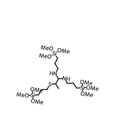 CO[Si](CCCNC(NCCC[Si](OC)(OC)OC)C(C)SCCC[Si](OC)(OC)OC)(OC)OC